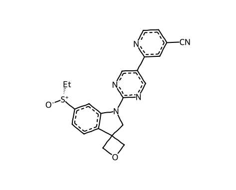 CC[S@@+]([O-])c1ccc2c(c1)N(c1ncc(-c3cc(C#N)ccn3)cn1)CC21COC1